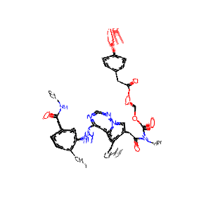 CCCN(C(=O)OCOC(=O)Cc1ccc(O)cc1)C(=O)c1cn2ncnc(Nc3cc(C(=O)NCC)ccc3C)c2c1C